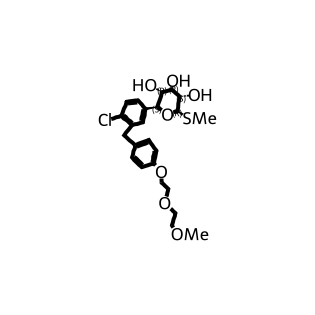 COCCOCCOc1ccc(Cc2cc([C@@H]3O[C@H](SC)[C@@H](O)[C@H](O)[C@H]3O)ccc2Cl)cc1